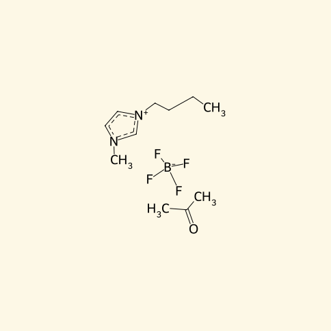 CC(C)=O.CCCC[n+]1ccn(C)c1.F[B-](F)(F)F